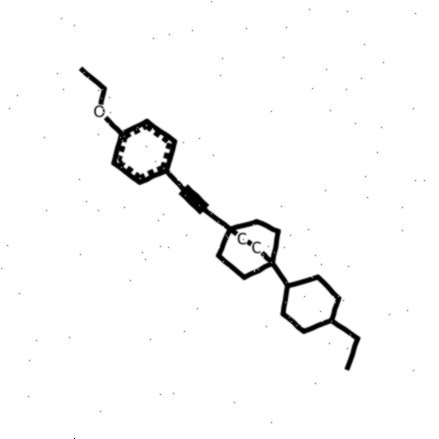 CCOc1ccc(C#CC23CCC(C4CCC(CC)CC4)(CC2)CC3)cc1